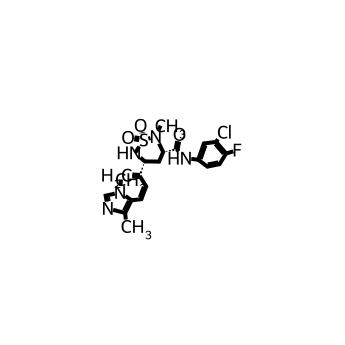 C=C(/C=C\c1c(C)ncn1C)[C@H]1C[C@@H](C(=O)Nc2ccc(F)c(Cl)c2)N(C)S(=O)(=O)N1